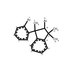 CC(=O)c1ccccc1C1(C)c2ccccc2C(C)(C)C1C(C)=O